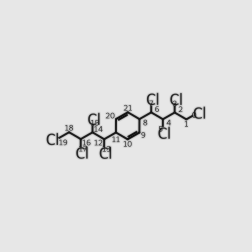 ClCC(Cl)C(Cl)C(Cl)C1C=CC(C(Cl)C(Cl)C(Cl)CCl)C=C1